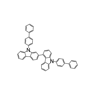 c1ccc(-c2ccc(-n3c4ccccc4c4ccc(-c5cccc6c5c5ccccc5n6-c5ccc(-c6ccccc6)cc5)cc43)cc2)cc1